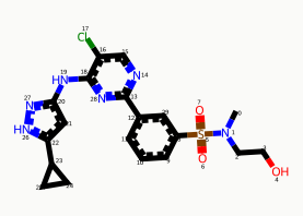 CN(CCO)S(=O)(=O)c1cccc(-c2ncc(Cl)c(Nc3cc(C4CC4)[nH]n3)n2)c1